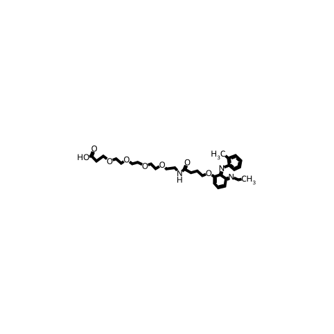 CC/N=C1\C=CC=C(OCCCC(=O)NCCOCCOCCOCCOCCC(=O)O)\C1=N\c1ccccc1C